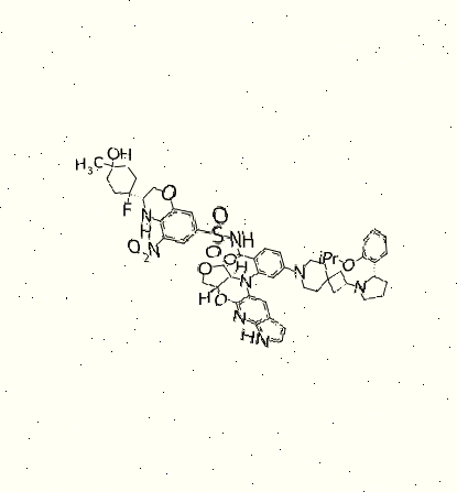 CC(C)Oc1ccccc1[C@@H]1CCCN1C1CC2(CCN(c3ccc(C(=O)NS(=O)(=O)c4cc5c(c([N+](=O)[O-])c4)N[C@H](C4(F)CCC(C)(O)CC4)CO5)c(N4c5cc6cc[nH]c6nc5O[C@@H]5COC[C@H]54)c3)CC2)C1